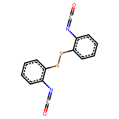 O=C=Nc1ccccc1SSc1ccccc1N=C=O